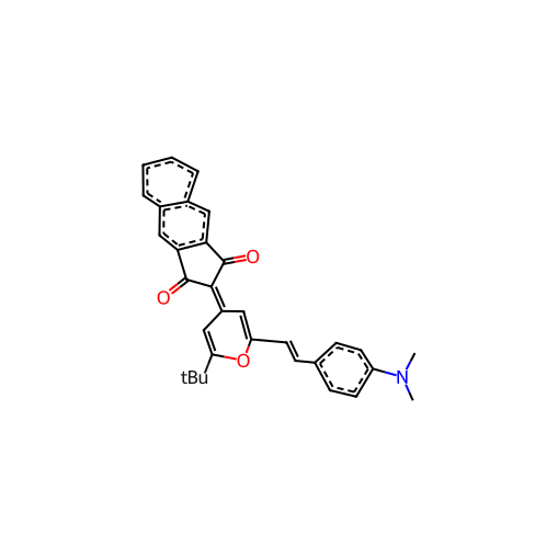 CN(C)c1ccc(C=CC2=CC(=C3C(=O)c4cc5ccccc5cc4C3=O)C=C(C(C)(C)C)O2)cc1